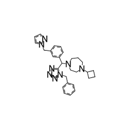 c1ccc(Cn2nnnc2C(c2cccc(Cn3cccn3)c2)N2CCCN(C3CCC3)CC2)cc1